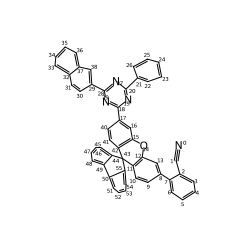 N#Cc1ccccc1-c1ccc2c(c1)Oc1cc(-c3nc(-c4ccccc4)nc(-c4ccc5ccccc5c4)n3)ccc1C21c2ccccc2-c2ccccc21